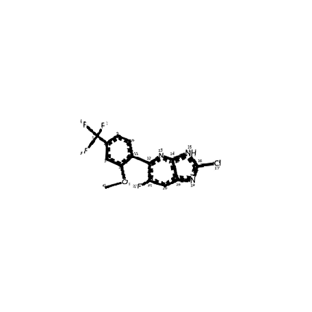 COc1cc(C(F)(F)F)ccc1-c1nc2[nH]c(Cl)nc2cc1F